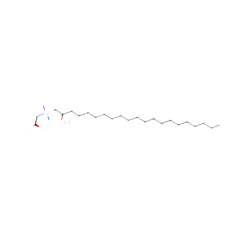 CCCCCCCCCCCCCCCCCCCC(O)C[N+](C)(C)CC(=O)[O-]